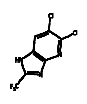 FC(F)(F)c1nc2nc(Cl)c(Cl)cc2[nH]1